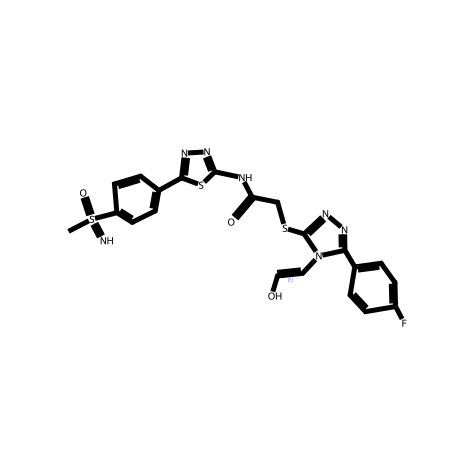 CS(=N)(=O)c1ccc(-c2nnc(NC(=O)CSc3nnc(-c4ccc(F)cc4)n3/C=C/O)s2)cc1